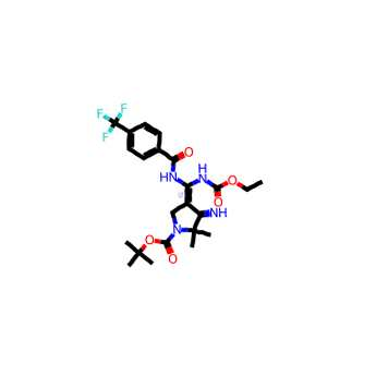 CCOC(=O)N/C(NC(=O)c1ccc(C(F)(F)F)cc1)=C1/CN(C(=O)OC(C)(C)C)C(C)(C)C1=N